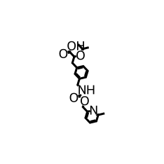 Cc1cccc(COC(=O)NCc2cccc(CC(OC(C)C)C(=O)O)c2)n1